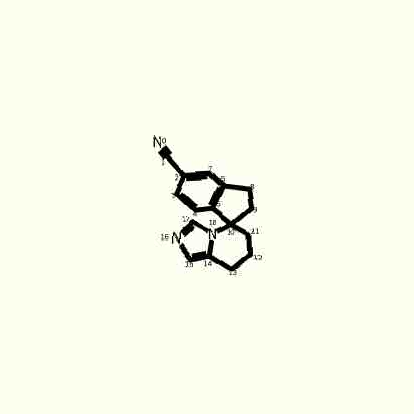 N#Cc1ccc2c(c1)CCC21CCCc2cncn21